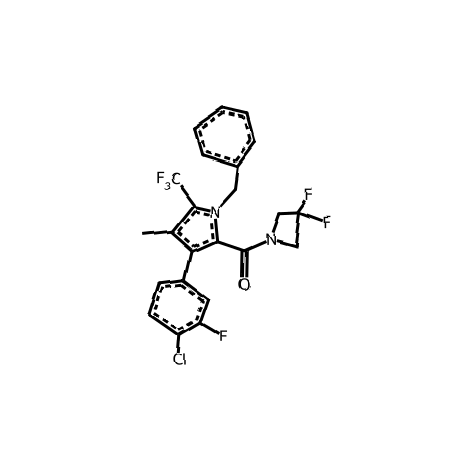 Cc1c(-c2ccc(Cl)c(F)c2)c(C(=O)N2CC(F)(F)C2)n(Cc2ccccc2)c1C(F)(F)F